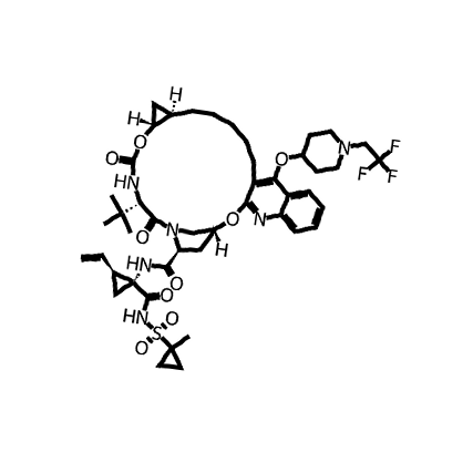 C=C[C@@H]1C[C@]1(NC(=O)[C@@H]1C[C@@H]2CN1C(=O)[C@H](C(C)(C)C)NC(=O)O[C@@H]1C[C@H]1CCCCCc1c(nc3ccccc3c1OC1CCN(CC(F)(F)F)CC1)O2)C(=O)NS(=O)(=O)C1(C)CC1